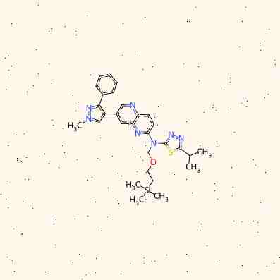 CC(C)c1nnc(N(COCC[Si](C)(C)C)c2ccc3ncc(-c4cn(C)nc4-c4ccccc4)cc3n2)s1